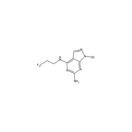 CCn1ncc2c(NCCC(F)(F)F)nc(N)nc21